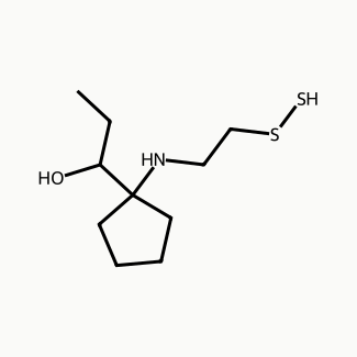 CCC(O)C1(NCCSS)CCCC1